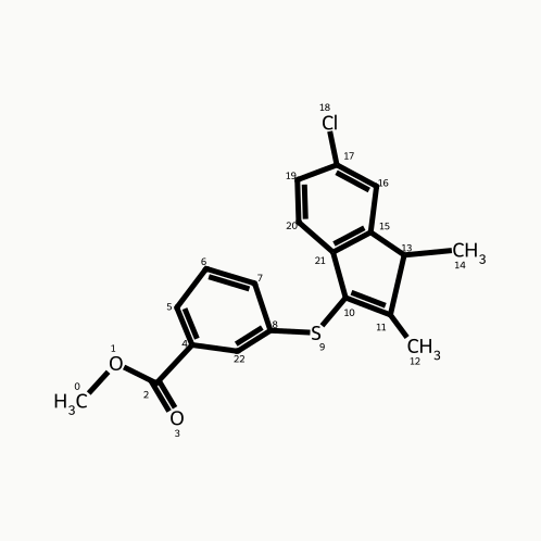 COC(=O)c1cccc(SC2=C(C)C(C)c3cc(Cl)ccc32)c1